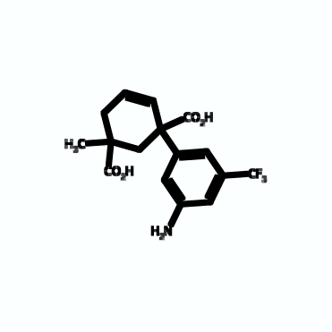 CC1(C(=O)O)CC=CC(C(=O)O)(c2cc(N)cc(C(F)(F)F)c2)C1